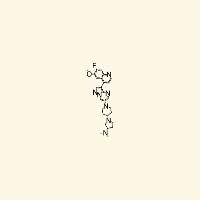 COc1cc2c(-c3cnn4cc(N5CCC(N6CCC(N(C)C)C6)CC5)cnc34)ccnc2cc1F